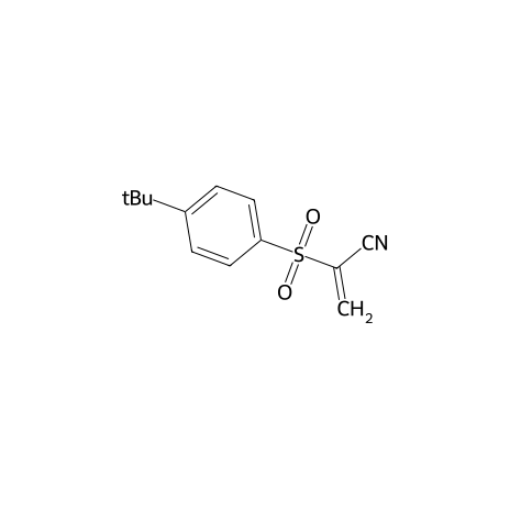 C=C(C#N)S(=O)(=O)c1ccc(C(C)(C)C)cc1